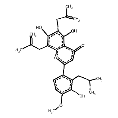 C=C(C)Cc1c(O)c(CC(=C)C)c2oc(-c3ccc(OC)c(O)c3CC(C)C)cc(=O)c2c1O